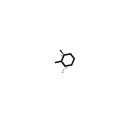 CC1[C@@H](C)CCC[C@@H]1C